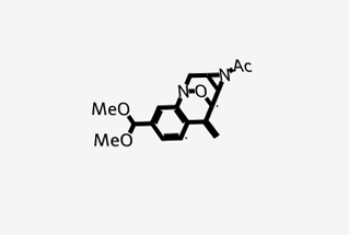 C=C1[C]2ON(CC3C2N3C(C)=O)c2cc(C(OC)OC)c[c]c21